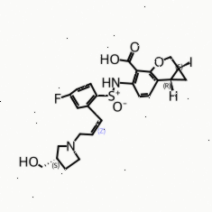 O=C(O)c1c(N[S+]([O-])c2ccc(F)cc2/C=C\CN2CC[C@H](CO)C2)ccc2c1OC[C@]1(I)C[C@H]21